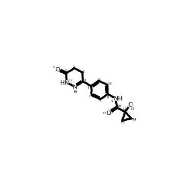 O=C1CCC(c2ccc(NC(=O)C3(Cl)CC3)cc2)=NN1